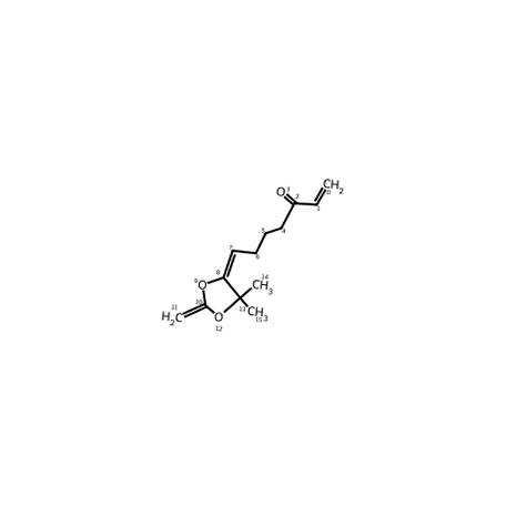 C=CC(=O)CCC/C=C1/OC(=C)OC1(C)C